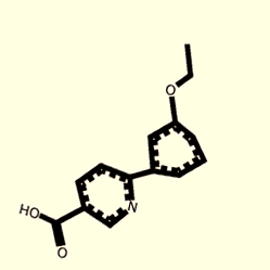 CCOc1cccc(-c2ccc(C(=O)O)cn2)c1